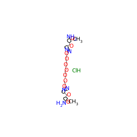 COc1cc(C(=O)c2cccn3c(OCCOCCOCCOCCOCCOCCOc4ncc5c(C(=O)c6ccc(N)c(OC)c6)cccn45)ncc23)ccc1N.Cl